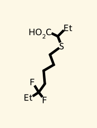 CCC(SCCCCC(F)(F)CC)C(=O)O